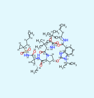 C=CCCNC(=O)c1cccc2c1nc(O[C@@H]1C[C@@H](C(=O)N[C@]3(C(=O)NS(=O)(=O)C4(CCC=C)CC4)C[C@H]3CC)N(C(=O)[C@@H](NC(=O)OC(C)(C)C)C(C)(C)C)C1)n2C(C)C